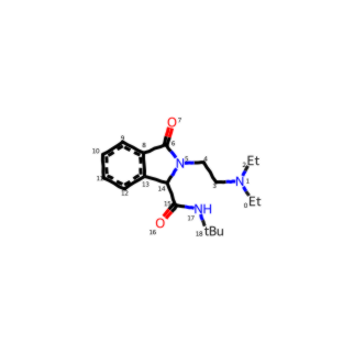 CCN(CC)CCN1C(=O)c2ccccc2C1C(=O)NC(C)(C)C